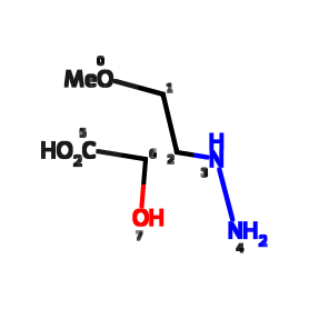 COCCNN.O=C(O)CO